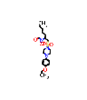 CCCCCC(CS(=O)(=O)N1CCN(c2ccc(OCC)cc2)CC1)N(O)C=O